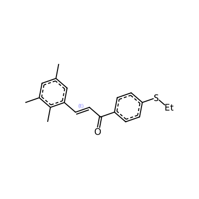 CCSc1ccc(C(=O)/C=C/c2cc(C)cc(C)c2C)cc1